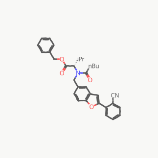 CCCCC(=O)N(Cc1ccc2oc(-c3ccccc3C#N)cc2c1)[C@H](C(=O)OCc1ccccc1)C(C)C